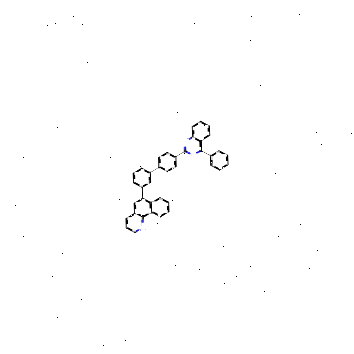 c1ccc(-c2nc(-c3ccc(-c4cccc(-c5cc6cccnc6c6ccccc56)c4)cc3)nc3ccccc23)cc1